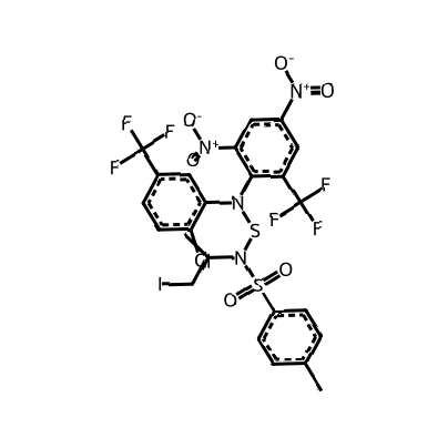 Cc1ccc(S(=O)(=O)N(SN(c2cc(C(F)(F)F)ccc2Cl)c2c([N+](=O)[O-])cc([N+](=O)[O-])cc2C(F)(F)F)C(C)CI)cc1